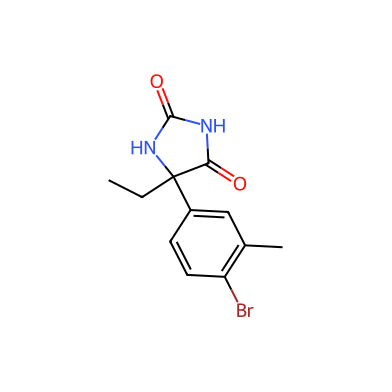 CCC1(c2ccc(Br)c(C)c2)NC(=O)NC1=O